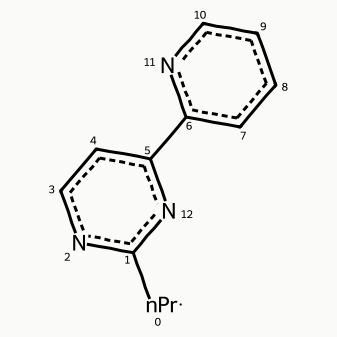 CC[CH]c1nccc(-c2ccccn2)n1